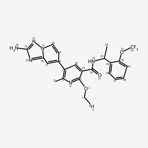 [2H]COc1nc(C)c(-c2ccn3nc(N)nc3c2)cc1C(=O)NC(C)c1ccccc1OC(F)(F)F